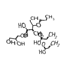 C=C(C(=O)O)C(CC)OCCC.C=CC(=O)O.C=CC(=O)O.OCC(O)CO